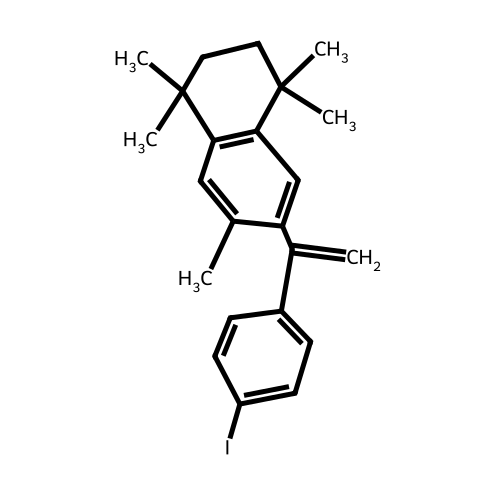 C=C(c1ccc(I)cc1)c1cc2c(cc1C)C(C)(C)CCC2(C)C